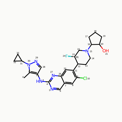 Cc1c(Nc2ncc3cc(Cl)c(C4CCN(C5CCCC5O)C[C@@H]4F)cc3n2)cnn1C1CC1